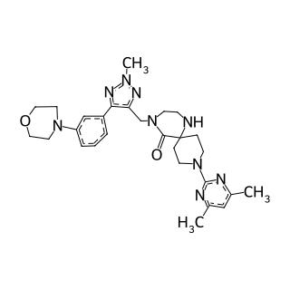 Cc1cc(C)nc(N2CCC3(CC2)NCCN(Cc2nn(C)nc2-c2cccc(N4CCOCC4)c2)C3=O)n1